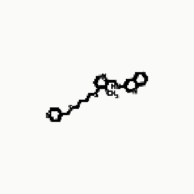 Cc1c(SCCCCSCc2ccncc2)ccnc1CNc1cnc2ccccc2c1